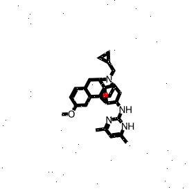 COC1C=CC2CC3N(CC4CC4)CCC4(C2C1)C1CCC34CCC1NC1N=C(C)C=C(C)N1